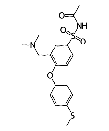 CSc1ccc(Oc2ccc(S(=O)(=O)NC(C)=O)cc2CN(C)C)cc1